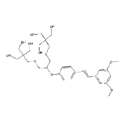 COc1cc(/C=C/c2ccc(OC(COCC(CO)(CO)CO)COCC(CO)(CO)CO)cc2)cc(OC)c1